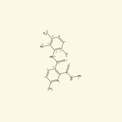 CCCNC(=O)c1nc(C)ccc1C(=O)Nc1c(Cl)ccc(C)c1C#N